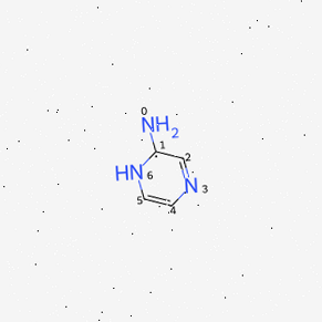 N[C]1C=NC=CN1